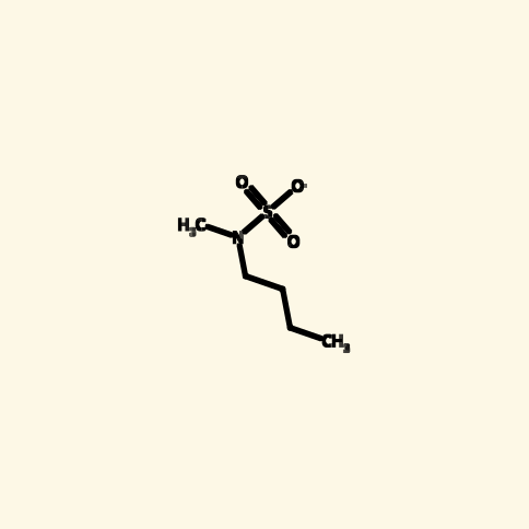 CCCCN(C)S([O])(=O)=O